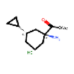 COC(=O)[C@]1(N)CCC[C@H](C2CC2)C1.Cl